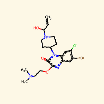 C=CC(O)N1CCC(n2c(=O)c(OCCN(C)C)nc3cc(Br)c(Cl)cc32)CC1